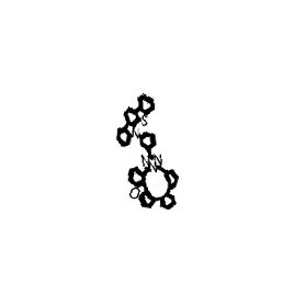 c1cc(-c2nc3nc(n2)c2cccc4oc5ccc(cc5c42)c2ccccc2c2cccc3c2)cc(-n2c3ccccc3c3ccc4c5ccccc5sc4c32)c1